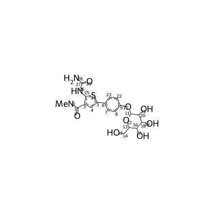 CNC(=O)c1cc(-c2ccc(OC3OC(CO)C(O)C(O)C3O)cc2)sc1NC(N)=O